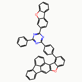 c1ccc(-c2nc(-c3ccc(-c4cccc5oc6cc7c8c(cccc8c6c45)-c4ccccc4-7)cc3)nc(-c3ccc4c(c3)oc3ccccc34)n2)cc1